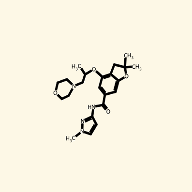 CC(CN1CCOCC1)Oc1cc(C(=O)Nc2ccn(C)n2)cc2c1CC(C)(C)O2